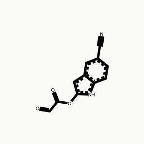 N#Cc1ccc2[nH]c(OC(=O)C=O)cc2c1